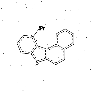 CC(C)c1cccc2sc3ccc4ccccc4c3c12